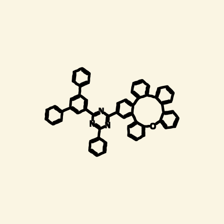 c1ccc(-c2cc(-c3ccccc3)cc(-c3nc(-c4ccccc4)nc(-c4ccc5c(c4)-c4ccccc4Oc4ccccc4-c4ccccc4-c4ccccc4-5)n3)c2)cc1